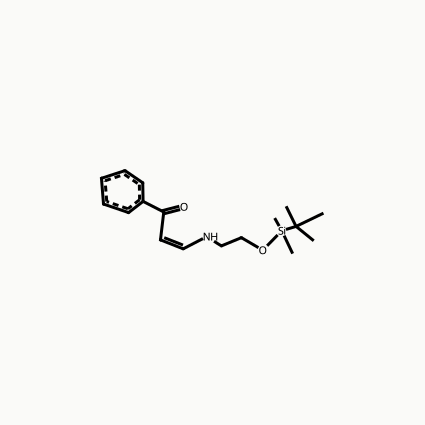 CC(C)(C)[Si](C)(C)OCCN/C=C\C(=O)c1ccccc1